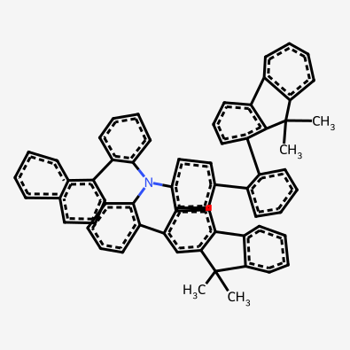 CC1(C)c2ccccc2-c2ccc(-c3ccccc3N(c3ccc(-c4ccccc4-c4cccc5c4C(C)(C)c4ccccc4-5)cc3)c3ccccc3-c3cccc4ccccc34)cc21